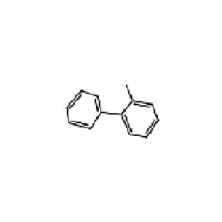 [CH2]c1ccccc1-c1cc[c]cc1